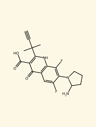 C#CC(C)(C)c1[nH]c2c(F)c(N3CCCC3N)c(F)cc2c(=O)c1C(=O)O